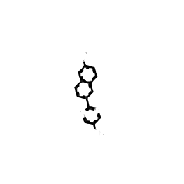 CCCCCOc1ccc2cc(-c3ncc(C#N)cn3)ccc2c1